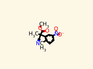 COC(=O)C(C)(C#N)c1cc([N+](=O)[O-])ccc1C